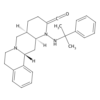 CC(C)(NN1C(=C=O)CC[C@@H]2CN3CCc4ccccc4[C@H]3C[C@@H]21)c1ccccc1